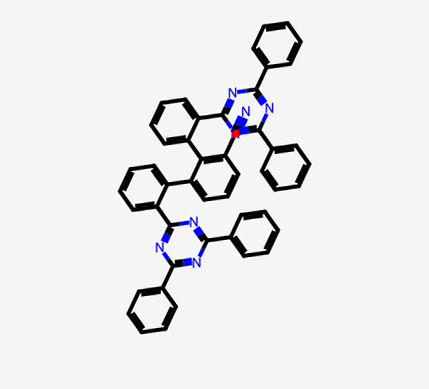 N#Cc1cccc(-c2ccccc2-c2nc(-c3ccccc3)nc(-c3ccccc3)n2)c1-c1ccccc1-c1nc(-c2ccccc2)nc(-c2ccccc2)n1